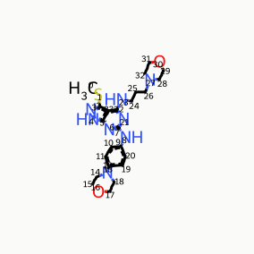 CSc1n[nH]c2nc(Nc3ccc(N4CCOCC4)cc3)nc(NCCCN3CCOCC3)c12